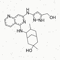 CC1CC2CC(CC(C)(O)C2)C1Nc1nc(Nc2cc(CO)[nH]n2)cc2ncccc12